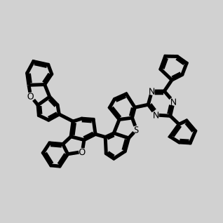 c1ccc(-c2nc(-c3ccccc3)nc(-c3cccc4c3sc3cccc(-c5ccc(-c6ccc7oc8ccccc8c7c6)c6c5oc5ccccc56)c34)n2)cc1